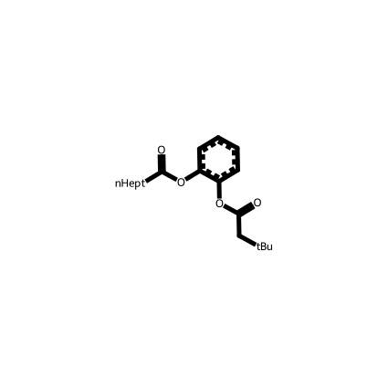 CCCCCCCC(=O)Oc1ccccc1OC(=O)CC(C)(C)C